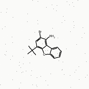 CC(C)(C)c1cc(Br)c(N)c2c1oc1ccccc12